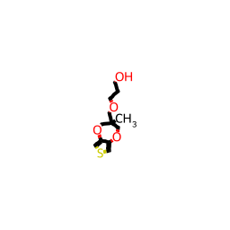 CC1(COCCCO)COc2cscc2OC1